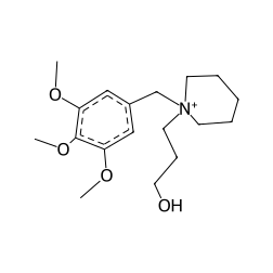 COc1cc(C[N+]2(CCCO)CCCCC2)cc(OC)c1OC